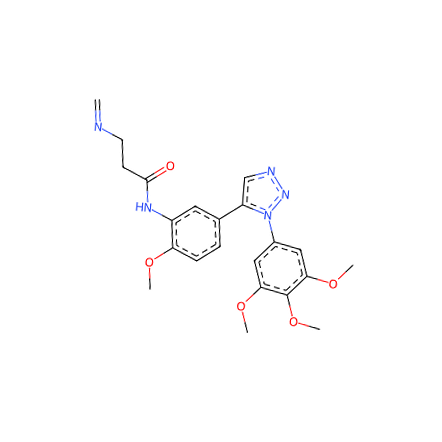 C=NCCC(=O)Nc1cc(-c2cnnn2-c2cc(OC)c(OC)c(OC)c2)ccc1OC